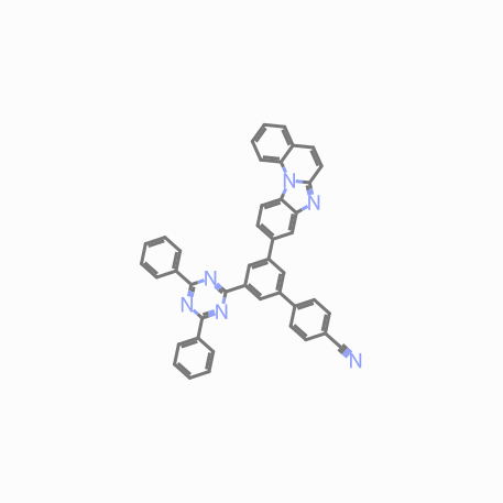 N#Cc1ccc(-c2cc(-c3ccc4c(c3)nc3ccc5ccccc5n34)cc(-c3nc(-c4ccccc4)nc(-c4ccccc4)n3)c2)cc1